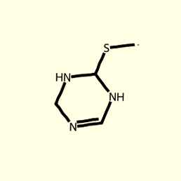 [CH2]SC1NC=NCN1